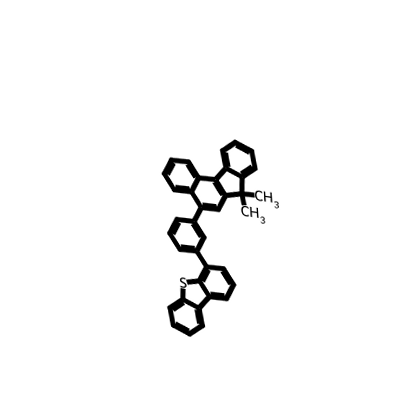 CC1(C)c2ccccc2-c2c1cc(-c1cccc(-c3cccc4c3sc3ccccc34)c1)c1ccccc21